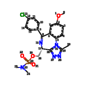 COc1ccc2c(c1)C(c1ccc(Cl)cc1)=N[C@@H](COS(=O)(=O)N(C)C)c1nnc(C)n1-2